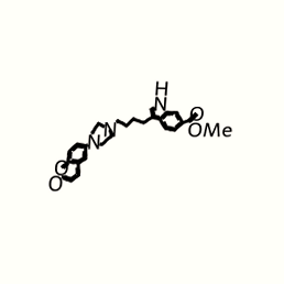 COC(=O)c1ccc2c(CCCCN3CCN(c4ccc5oc(=O)ccc5c4)CC3)c[nH]c2c1